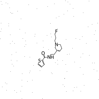 O=C(NCCC1=CCCN(CCCF)C1)c1cccs1